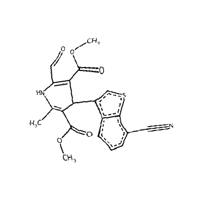 COC(=O)C1=C(C)NC(C=O)=C(C(=O)OC)C1c1csc2c(C#N)cccc12